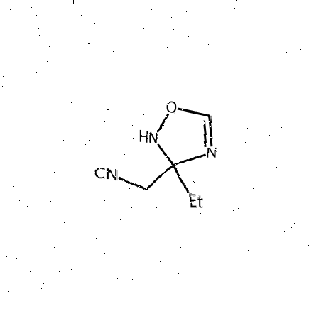 [C-]#[N+]CC1(CC)N=CON1